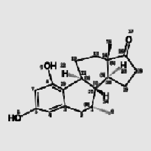 C[C@@H]1Cc2cc(O)cc(O)c2[C@H]2CC[C@]3(C)C(=O)CC[C@H]3[C@H]12